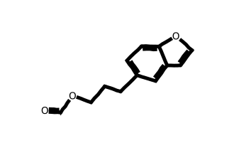 O=[C]OCCCc1ccc2occc2c1